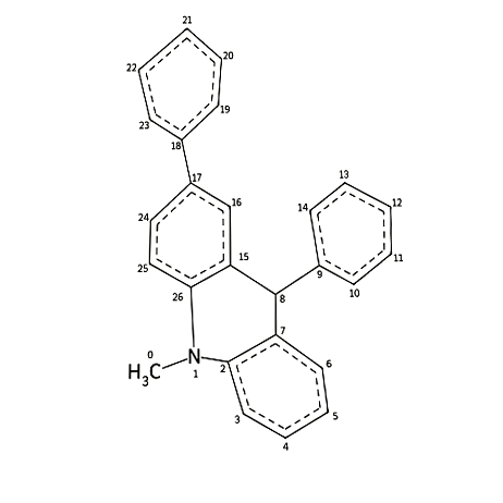 CN1c2ccccc2C(c2ccccc2)c2cc(-c3ccccc3)ccc21